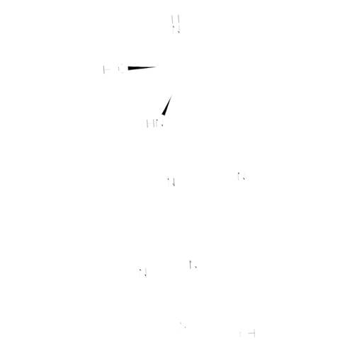 Cc1cn2c(-c3cncc(N[C@@H]4CCCN[C@@H]4C)n3)cnc2s1